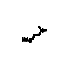 CN(C)CC[CH2][Mg][I]